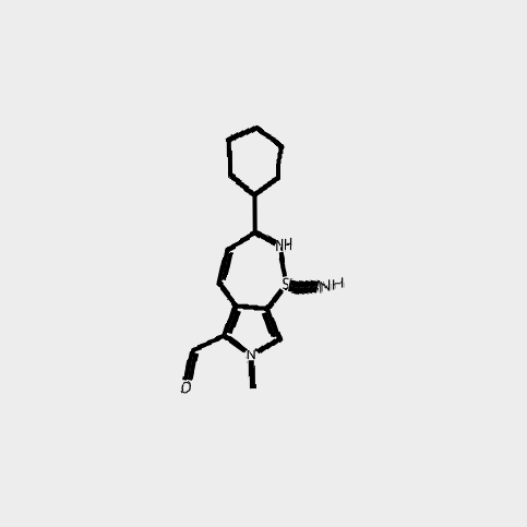 Cn1cc2c(c1C=O)C=CC(C1CCCCC1)NS2=N